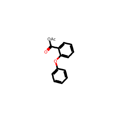 CC(=O)OC(=O)c1ccccc1Oc1ccccc1